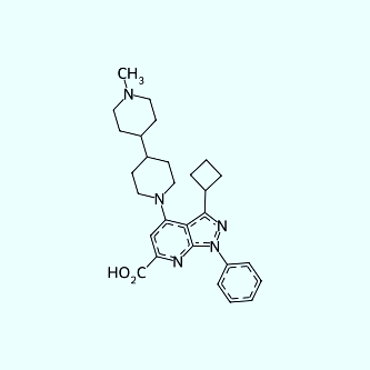 CN1CCC(C2CCN(c3cc(C(=O)O)nc4c3c(C3CCC3)nn4-c3ccccc3)CC2)CC1